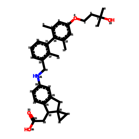 Cc1cc(OCCC(C)(C)O)cc(C)c1-c1cccc(CNc2ccc3c(c2)CC2(CC2)C3CC(=O)O)c1C